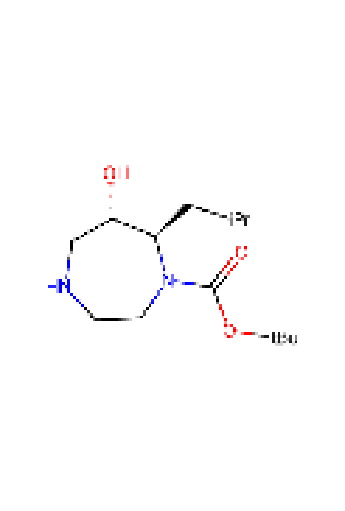 CC(C)C[C@@H]1[C@@H](O)CNCCN1C(=O)OC(C)(C)C